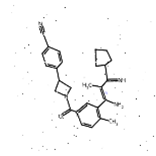 C/C(C(=N)C1CCCC1)=C(/N)c1cc(C(=O)N2CC(c3ccc(C#N)cc3)C2)ccc1C